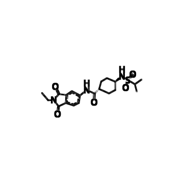 CCN1C(=O)c2ccc(NC(=O)[C@H]3CC[C@H](NS(=O)(=O)C(C)C)CC3)cc2C1=O